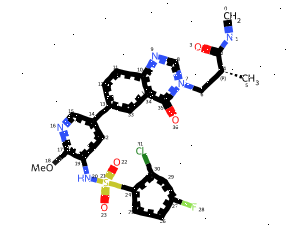 C=NC(=O)[C@H](C)Cn1cnc2ccc(-c3cnc(OC)c(NS(=O)(=O)c4ccc(F)cc4Cl)c3)cc2c1=O